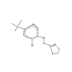 CC(C)(C)c1ccc(OCC2=NCCS2)c(Cl)c1